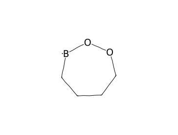 [B]1CCCCOO1